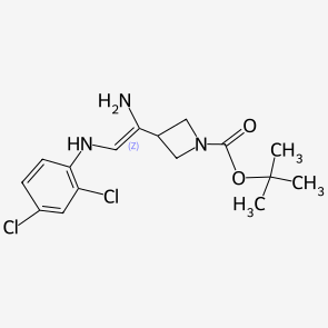 CC(C)(C)OC(=O)N1CC(/C(N)=C/Nc2ccc(Cl)cc2Cl)C1